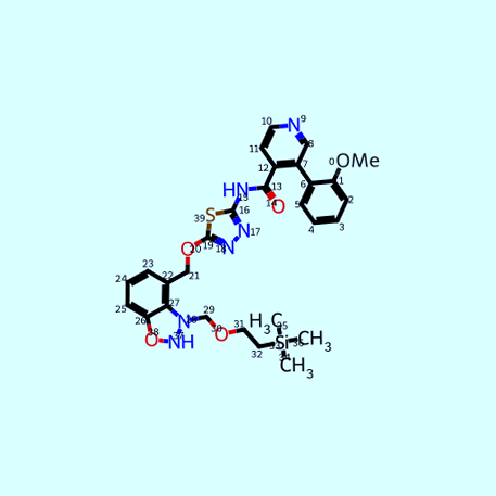 COc1ccccc1-c1cnccc1C(=O)Nc1nnc(OCc2cccc3c2N(COCC[Si](C)(C)C)NO3)s1